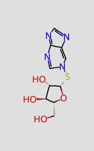 OC[C@H]1O[C@@H](Sn2cnc3ncnc-3c2)[C@@H](O)[C@@H]1O